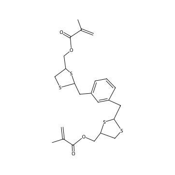 C=C(C)C(=O)OCC1CSC(Cc2cccc(CC3SCC(COC(=O)C(=C)C)S3)c2)S1